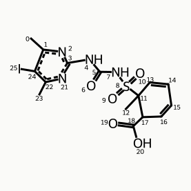 Cc1nc(NC(=O)NS(=O)(=O)C2(C)C=CC=CC2C(=O)O)nc(C)c1I